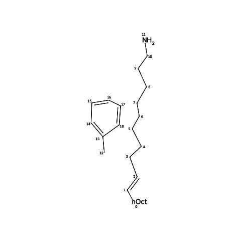 CCCCCCCCC=CCCCCCCCCN.Cc1ccccc1